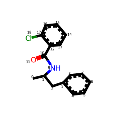 CC(Cc1ccccc1)NC(=O)c1ccccc1Cl